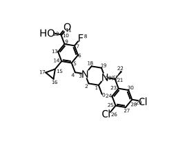 CC1CN(Cc2cc(F)c(C(=O)O)cc2C2CC2)CCN1[C@@H](C)c1cc(Cl)cc(Cl)c1